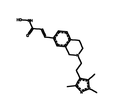 Cc1nn(C)c(C)c1CCN1CCc2ccc(/C=C/C(=O)NO)cc2C1